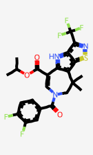 CC(C)OC(=O)C1=CN(C(=O)c2ccc(F)c(F)c2)CC(C)(C)c2c1[nH]c1c(C(F)(F)F)nsc21